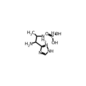 CC(N)C(N)c1nc[nH]n1.O=[PH](O)O